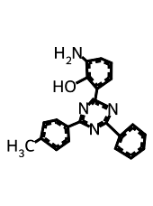 Cc1ccc(-c2nc(-c3ccccc3)nc(-c3cccc(N)c3O)n2)cc1